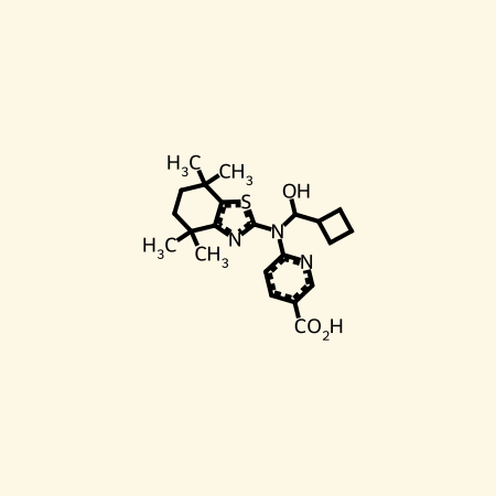 CC1(C)CCC(C)(C)c2sc(N(c3ccc(C(=O)O)cn3)C(O)C3CCC3)nc21